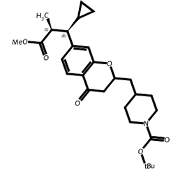 COC(=O)[C@@H](C)[C@H](c1ccc2c(c1)OC(CC1CCN(C(=O)OC(C)(C)C)CC1)CC2=O)C1CC1